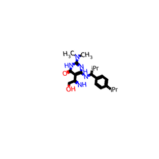 CC(C)c1ccc(C(Nc2nc(N(C)C)[nH]c(=O)c2C(=N)CO)C(C)C)cc1